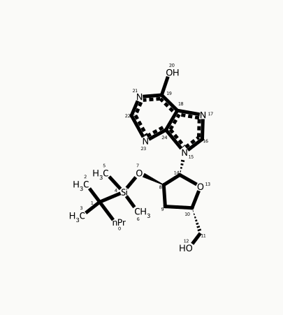 CCCC(C)(C)[Si](C)(C)O[C@@H]1C[C@@H](CO)O[C@H]1n1cnc2c(O)ncnc21